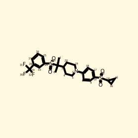 CC(C)(C1CCN(c2ccc(S(=O)(=O)C3CC3)cc2)CC1)S(=O)(=O)c1cccc(C(F)(F)F)c1